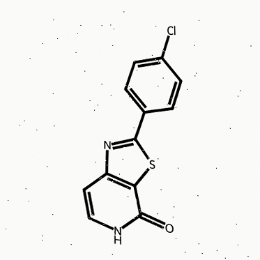 O=c1[nH]ccc2nc(-c3ccc(Cl)cc3)sc12